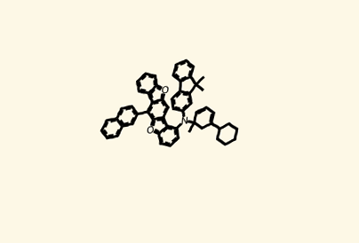 CC1(C)c2ccccc2-c2ccc(N(c3cccc4oc5c(-c6ccc7ccccc7c6)c6c(cc5c34)oc3ccccc36)C3(C)C=CC=C(C4CCCCC4)C3)cc21